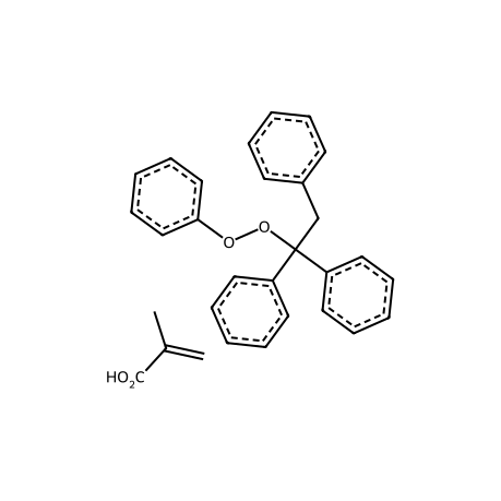 C=C(C)C(=O)O.c1ccc(CC(OOc2ccccc2)(c2ccccc2)c2ccccc2)cc1